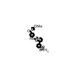 COC1CN(C(=O)c2ccc(Nc3nc4c(-c5cccc(S(C)(=O)=O)c5)cccn4n3)cc2)C1